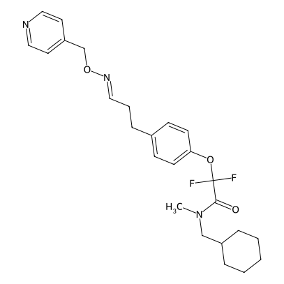 CN(CC1CCCCC1)C(=O)C(F)(F)Oc1ccc(CCC=NOCc2ccncc2)cc1